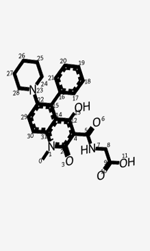 Cn1c(=O)c(C(=O)NCC(=O)O)c(O)c2c(-c3ccccc3)c(N3CCCCC3)ccc21